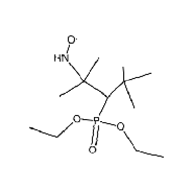 CCOP(=O)(OCC)C(C(C)(C)C)C(C)(C)N[O]